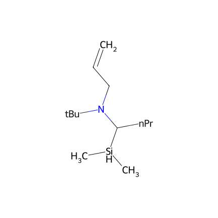 C=CCN(C(CCC)[SiH](C)C)C(C)(C)C